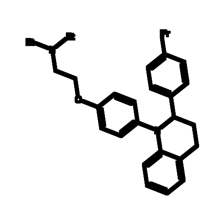 CCN(CC)CCOc1ccc(N2c3ccccc3CCC2c2ccc(C(C)C)cc2)cc1